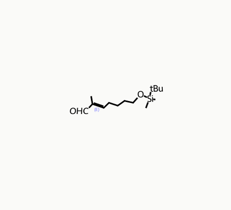 C/C(C=O)=C\CCCCO[Si](C)(C)C(C)(C)C